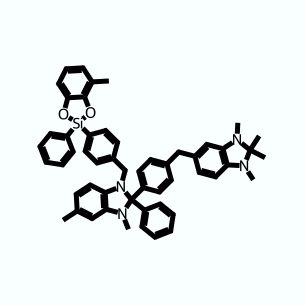 Cc1ccc2c(c1)N(C)C(c1ccccc1)(c1ccc(Cc3ccc4c(c3)N(C)C(C)(C)N4C)cc1)N2Cc1ccc([Si]2(c3ccccc3)Oc3cccc(C)c3O2)cc1